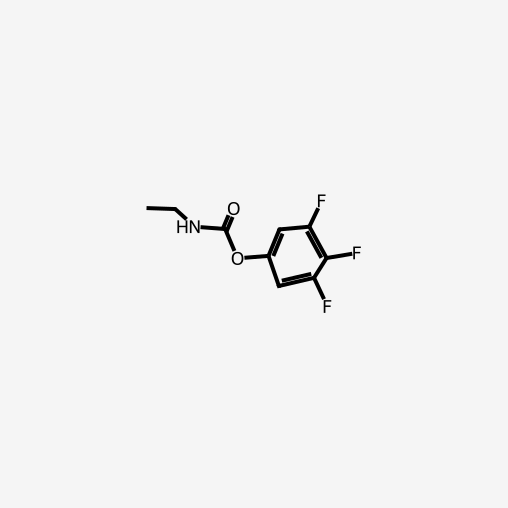 CCNC(=O)Oc1cc(F)c(F)c(F)c1